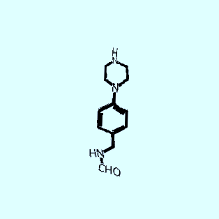 O=CNCc1ccc(N2CCNCC2)cc1